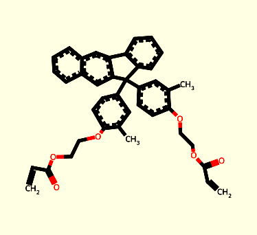 C=CC(=O)OCCOc1ccc(C2(c3ccc(OCCOC(=O)C=C)c(C)c3)c3ccccc3-c3cc4ccccc4cc32)cc1C